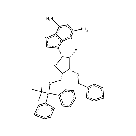 CC(C)(C)[Si](OC[C@@H]1S[C@H](n2cnc3c(N)nc(N)nc32)[C@H](F)[C@@H]1OCc1ccccc1)(c1ccccc1)c1ccccc1